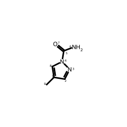 Cc1cnn(C(N)=O)c1